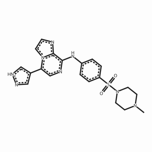 CN1CCN(S(=O)(=O)c2ccc(Nc3ncc(-c4cn[nH]c4)n4ccnc34)cc2)CC1